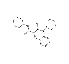 O=C(OC1CCCCC1)C(=Cc1ccccc1)C(=O)OC1CCCCC1